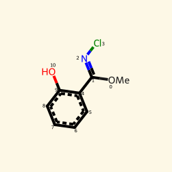 CO/C(=N\Cl)c1ccccc1O